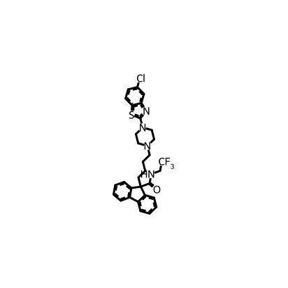 O=C(NCC(F)(F)F)C1(CCCCN2CCN(c3nc4cc(Cl)ccc4s3)CC2)c2ccccc2-c2ccccc21